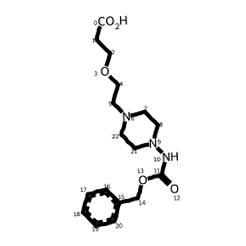 O=C(O)CCOCCN1CCN(NC(=O)OCc2ccccc2)CC1